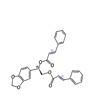 O=C(/C=C/c1ccccc1)OC[C@H](OC(=O)/C=C/c1ccccc1)c1ccc2c(c1)OCO2